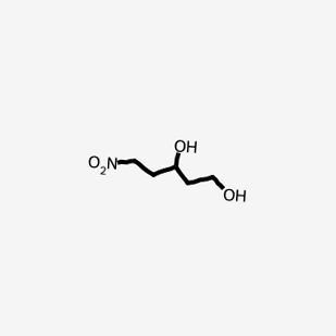 O=[N+]([O-])CCC(O)CCO